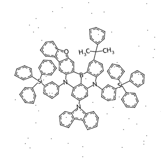 CC(C)(c1ccccc1)c1ccc2c(c1)B1c3cc4oc5ccccc5c4cc3N(c3cccc([Si](c4ccccc4)(c4ccccc4)c4ccccc4)c3)c3cc(-n4c5ccccc5c5ccccc54)cc(c31)N2c1cccc([Si](c2ccccc2)(c2ccccc2)c2ccccc2)c1